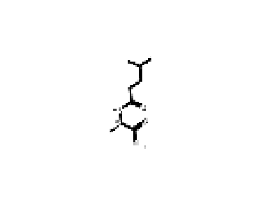 CC(C)CCC(=O)N[C@H](C)C(N)=O